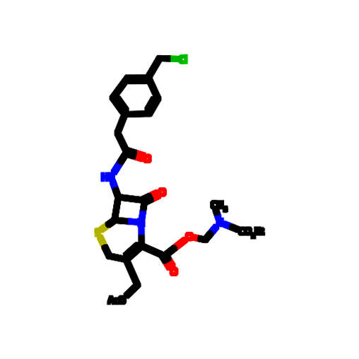 CCOC(=O)N(C)COC(=O)C1=C(COC(C)=O)CSC2C(NC(=O)Cc3ccc(CCl)cc3)C(=O)N12